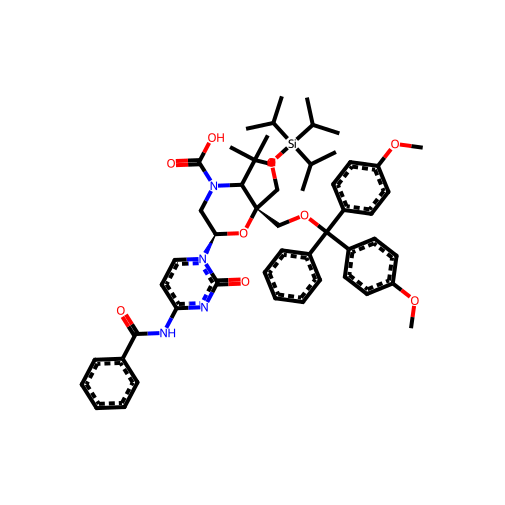 COc1ccc(C(OC[C@@]2(CO[Si](C(C)C)(C(C)C)C(C)C)O[C@@H](n3ccc(NC(=O)c4ccccc4)nc3=O)CN(C(=O)O)C2C(C)(C)C)(c2ccccc2)c2ccc(OC)cc2)cc1